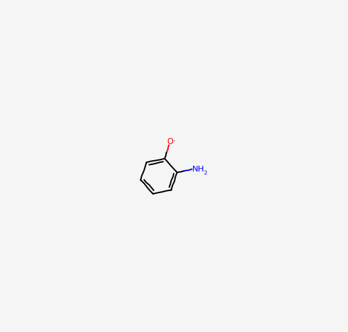 Nc1ccccc1[O]